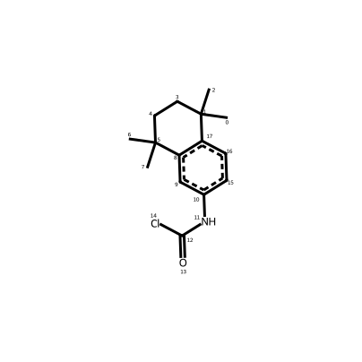 CC1(C)CCC(C)(C)c2cc(NC(=O)Cl)ccc21